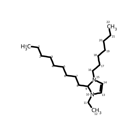 CCCCCCCCCC1N(CC)C=CN1CCCCCCC